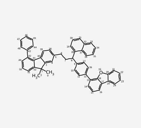 CC1(C)c2cc(CCC(c3ccc(-c4cccc5c4oc4ccccc45)cc3)c3cccc4ccccc34)ccc2-c2c(-c3ccccc3)cccc21